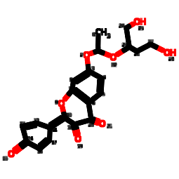 CC(Oc1ccc2c(c1)OC(=C1C=CC(=O)C=C1)C(=O)C2=O)OC(CO)CCO